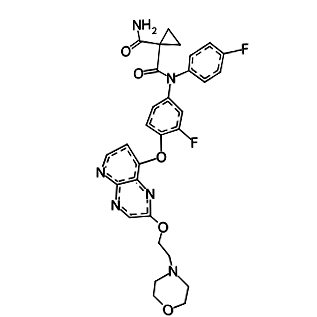 NC(=O)C1(C(=O)N(c2ccc(F)cc2)c2ccc(Oc3ccnc4ncc(OCCN5CCOCC5)nc34)c(F)c2)CC1